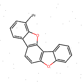 CC(C)c1cccc2c1oc1c2ccc2oc3ccccc3c21